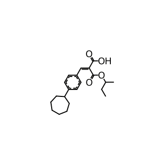 CCC(C)OC(=O)C(=Cc1ccc(C2CCCCCC2)cc1)C(=O)O